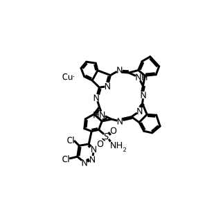 NS(=O)(=O)c1c(-c2nnnc(Cl)c2Cl)ccc2c3nc4nc(nc5[nH]c(nc6nc(nc([nH]3)c12)-c1ccccc1-6)c1ccccc51)-c1ccccc1-4.[Cu]